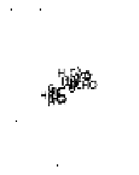 Cc1nc2ccccn2c1C(C=O)NC(=O)CCCn1c2c(c(=O)[nH]c1=O)CSCC2